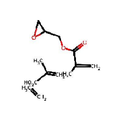 C=C.C=C(C)C(=O)O.C=C(C)C(=O)OCC1CO1